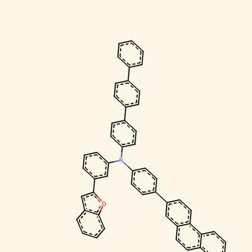 c1ccc(-c2ccc(-c3ccc(N(c4ccc(-c5ccc6c(ccc7ccccc76)c5)cc4)c4cccc(-c5cc6ccccc6o5)c4)cc3)cc2)cc1